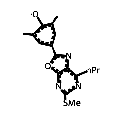 CCCc1nc(SC)nc2oc(-c3cc(C)c([O])c(C)c3)nc12